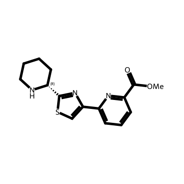 COC(=O)c1cccc(-c2csc([C@H]3CCCCN3)n2)n1